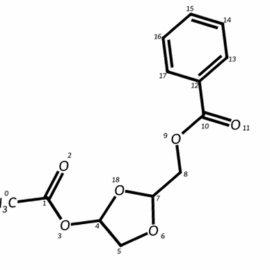 CC(=O)OC1COC(COC(=O)c2ccccc2)O1